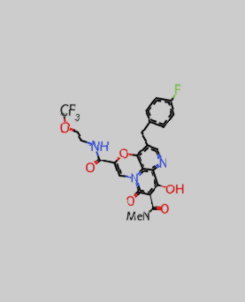 CNC(=O)c1c(O)c2ncc(Cc3ccc(F)cc3)c3c2n(c1=O)C=C(C(=O)NCCOC(F)(F)F)O3